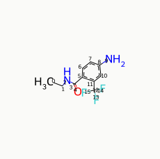 CCNC(=O)c1ccc(N)cc1C(F)(F)F